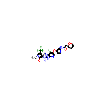 Cn1cc(C(F)(F)F)cc(Nc2nc3ncc(Oc4ccnc(NC(=O)C[C@@H]5CCCCO5)c4)c(Cl)c3n2C)c1=O